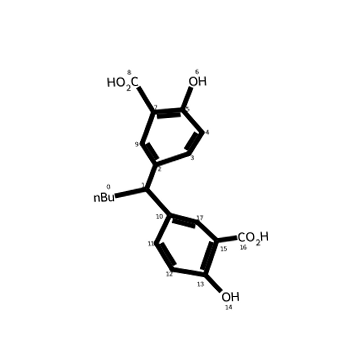 CCCCC(c1ccc(O)c(C(=O)O)c1)c1ccc(O)c(C(=O)O)c1